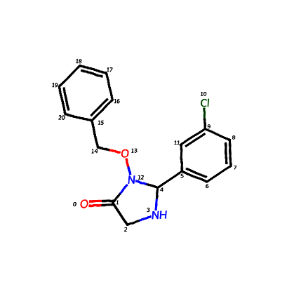 O=C1CNC(c2cccc(Cl)c2)N1OCc1ccccc1